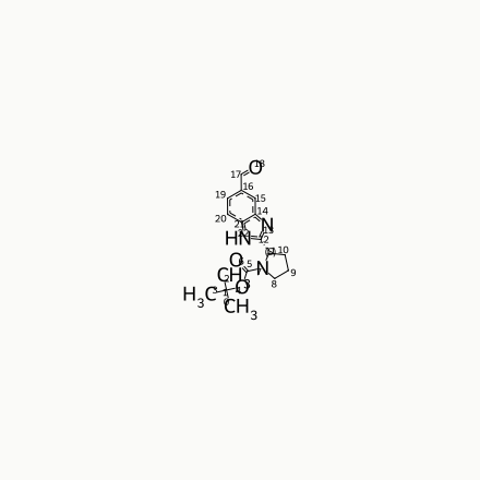 CC(C)(C)OC(=O)N1CCC[C@H]1c1nc2cc(C=O)ccc2[nH]1